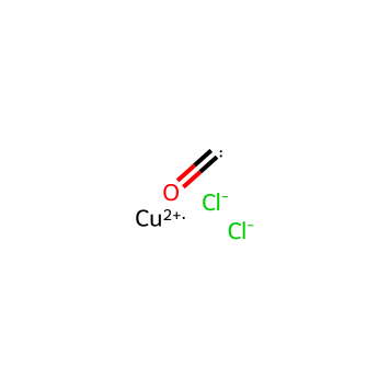 [C]=O.[Cl-].[Cl-].[Cu+2]